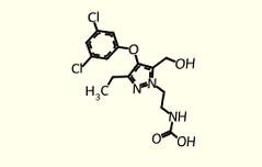 CCc1nn(CCNC(=O)O)c(CO)c1Oc1cc(Cl)cc(Cl)c1